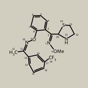 CON=C(c1ccccc1ON=C(C)c1cccc(C(F)(F)F)c1)C1NCCS1